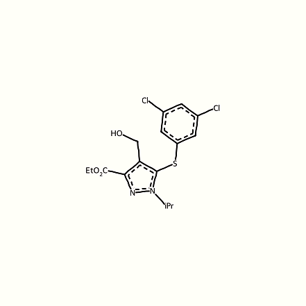 CCOC(=O)c1nn(C(C)C)c(Sc2cc(Cl)cc(Cl)c2)c1CO